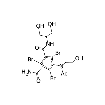 CC(=O)N(CCO)c1c(Br)c(C(N)=O)c(Br)c(C(=O)NC(CO)CO)c1Br